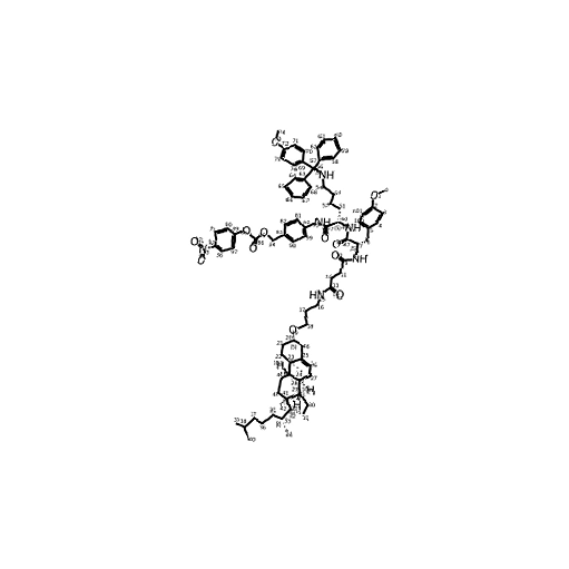 COc1ccc(C[C@H](NC(=O)CCC(=O)NCCCO[C@H]2CC[C@@]3(C)C(=CC[C@H]4[C@@H]5CC[C@H]([C@H](C)CCCC(C)C)[C@@]5(C)CC[C@@H]43)C2)C(=O)N[C@@H](CCCCNC(c2ccccc2)(c2ccccc2)c2ccc(OC)cc2)C(=O)Nc2ccc(COC(=O)Oc3ccc([N+](=O)[O-])cc3)cc2)cc1